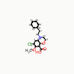 COc1c(Cl)cc2c(c1C(=O)O)OCCN2CCc1ccccc1